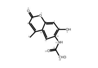 Cc1cc(=O)oc2cc(O)c(NC(=O)C=O)cc12